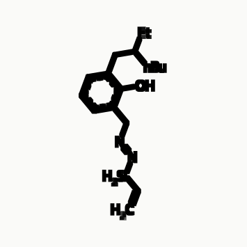 C=C[SiH2]/N=N/Cc1cccc(CC(CC)CCCC)c1O